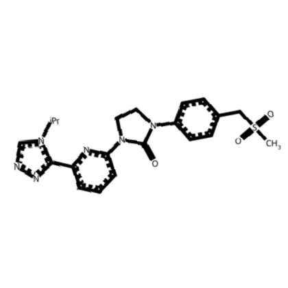 CC(C)n1cnnc1-c1cccc(N2CCN(c3ccc(CS(C)(=O)=O)cc3)C2=O)n1